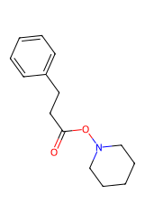 O=C(CCc1ccccc1)ON1CCCCC1